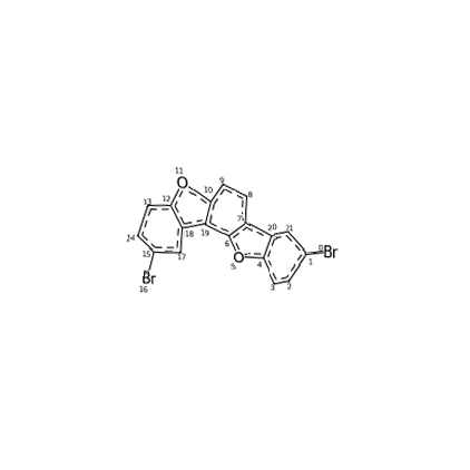 Brc1ccc2oc3c(ccc4oc5ccc(Br)cc5c43)c2c1